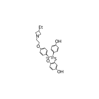 CCC1CN(CCOc2ccc([C@@H]3Oc4ccc(O)cc4S[C@@H]3c3ccc(O)cc3)cc2)C1